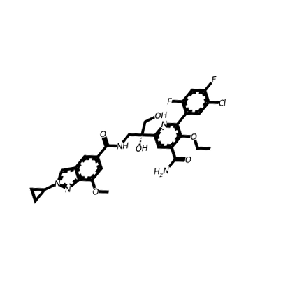 CCOc1c(C(N)=O)cc([C@](O)(CO)CNC(=O)c2cc(OC)c3nn(C4CC4)cc3c2)nc1-c1cc(Cl)c(F)cc1F